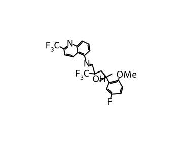 COc1ccc(F)cc1C(C)(C)CC(O)(C=Nc1cccc2nc(C(F)(F)F)ccc12)C(F)(F)F